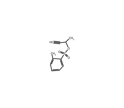 C#CC(C)OS(=O)(=O)c1ccccc1C